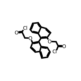 O=C(Cl)COc1ccc2ccccc2c1-c1c(OCC(=O)Cl)ccc2ccccc12